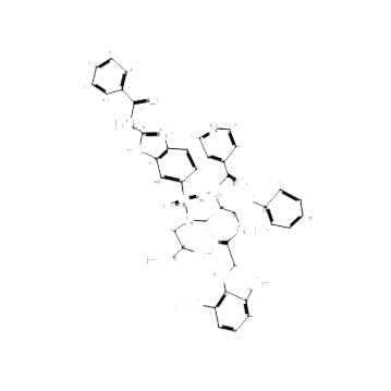 Cc1cccc(C)c1OCC(=O)N[C@@H](Cc1ccccc1)[C@@H](CN(CC(C)C)S(=O)(=O)c1ccc2nc(NC(=O)c3ccccc3)sc2c1)OC(=O)c1ccncc1